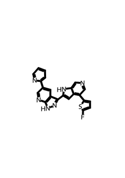 Fc1ccc(-c2cncc3[nH]c(-c4n[nH]c5ncc(-c6ccccn6)cc45)cc23)s1